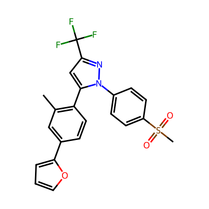 Cc1cc(-c2ccco2)ccc1-c1cc(C(F)(F)F)nn1-c1ccc(S(C)(=O)=O)cc1